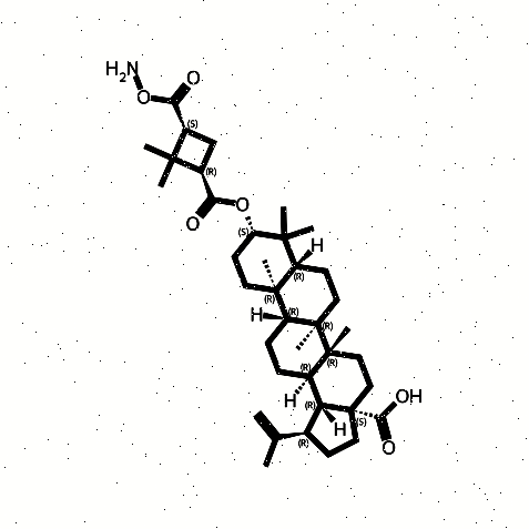 C=C(C)[C@@H]1CC[C@]2(C(=O)O)CC[C@]3(C)[C@H](CC[C@@H]4[C@@]5(C)CC[C@H](OC(=O)[C@@H]6C[C@H](C(=O)ON)C6(C)C)C(C)(C)[C@@H]5CC[C@]43C)[C@@H]12